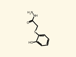 NNC(=O)CSc1ccccc1O